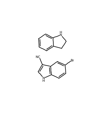 N#Cc1c[nH]c2ccc(Br)cc12.c1ccc2c(c1)CCN2